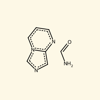 NC=O.c1cnc2cncn2c1